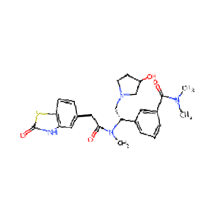 CN(C)C(=O)c1cccc([C@@H](CN2CCC(O)C2)N(C)C(=O)Cc2ccc3sc(=O)[nH]c3c2)c1